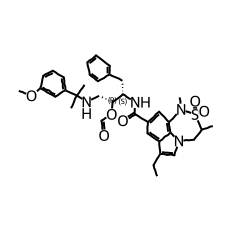 CCc1cn2c3c(cc(C(=O)N[C@@H](Cc4ccccc4)[C@@H](CNC(C)(C)c4cccc(OC)c4)OC=O)cc13)N(C)S(=O)(=O)C(C)C2